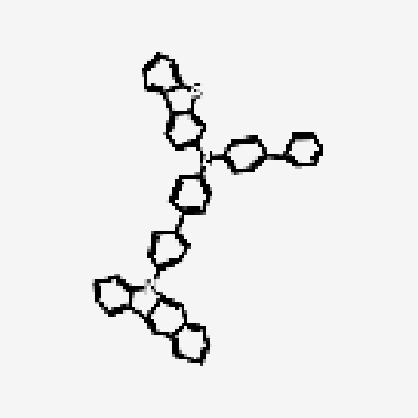 c1ccc(-c2ccc(N(c3ccc(-c4ccc(-n5c6ccccc6c6cc7ccccc7cc65)cc4)cc3)c3ccc4c(c3)sc3ccccc34)cc2)cc1